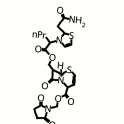 CCCC(C(=O)OCC1C(=O)N2C(C(=O)OCN3C(=O)CCC3=O)C=CS[C@@H]12)N1C=CSC1CC(N)=O